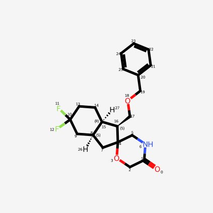 O=C1COC2(CN1)C[C@H]1CC(F)(F)CC[C@H]1[C@H]2COCc1ccccc1